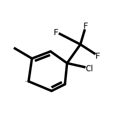 CC1=CC(Cl)(C(F)(F)F)C=C[CH]1